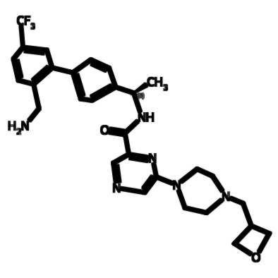 C[C@@H](NC(=O)c1cncc(N2CCN(CC3COC3)CC2)n1)c1ccc(-c2cc(C(F)(F)F)ccc2CN)cc1